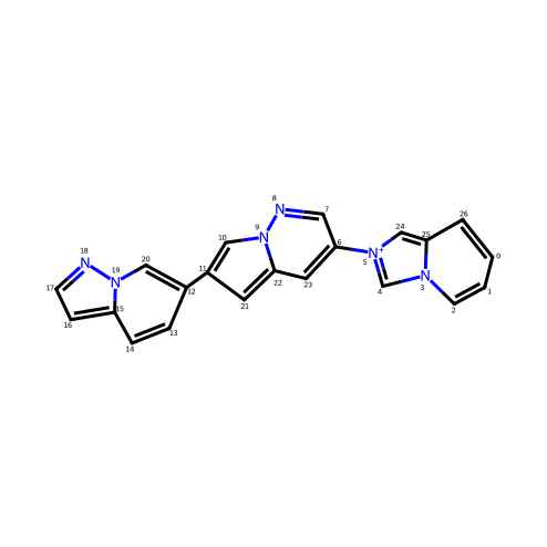 c1ccn2c[n+](-c3cnn4cc(-c5ccc6ccnn6c5)cc4c3)cc2c1